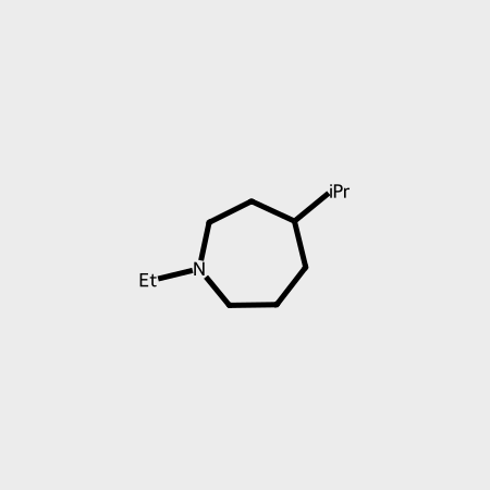 CCN1CCCC(C(C)C)CC1